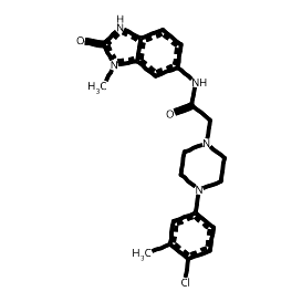 Cc1cc(N2CCN(CC(=O)Nc3ccc4[nH]c(=O)n(C)c4c3)CC2)ccc1Cl